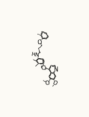 COc1cc2nccc(Oc3ccc(NCCCOc4ccccc4C)c(C)c3C)c2cc1OC